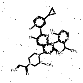 C=CC(=O)N1CCN(c2nc(=O)n(-c3c(C)ccnc3C(C)C)c3nc(-c4cc(C5CC5)ccc4F)c(Cl)cc23)[C@@H](C)C1